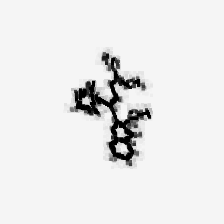 CN(C)CCC(c1cc2ccccc2cc1O)n1ncnn1